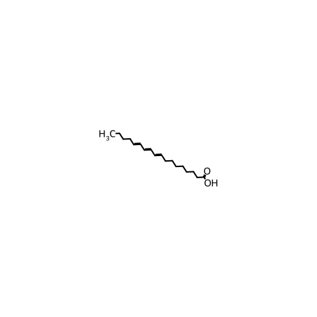 CCCCC=CC=CC=CCCCCCCCC(=O)O